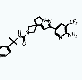 CC(C)(NC(=O)N1CC2(CCn3nc(-c4cnc(N)c(C(F)(F)F)c4)cc32)C1)c1ccncc1